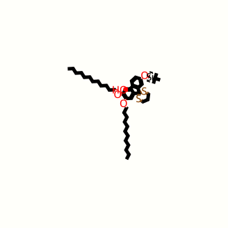 CCCCCCCCCCCCOc1ccc(C2(c3cc(O[Si](C)(C)C(C)(C)C)ccc3CO)SCCCS2)cc1OCCCCCCCCCCCC